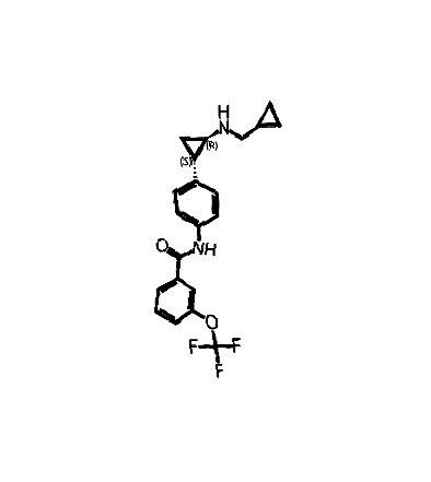 O=C(Nc1ccc([C@@H]2C[C@H]2NCC2CC2)cc1)c1cccc(OC(F)(F)F)c1